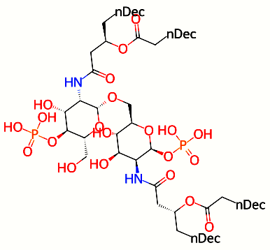 CCCCCCCCCCCC(=O)O[C@H](CCCCCCCCCCC)CC(=O)N[C@@H]1[C@H](OC[C@H]2O[C@@H](OP(=O)(O)O)[C@@H](NC(=O)C[C@@H](CCCCCCCCCCC)OC(=O)CCCCCCCCCCC)[C@@H](O)[C@@H]2O)O[C@H](CO)[C@@H](OP(=O)(O)O)[C@@H]1O